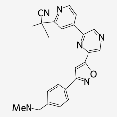 CNCc1ccc(-c2cc(-c3cncc(-c4ccnc(C(C)(C)C#N)c4)n3)on2)cc1